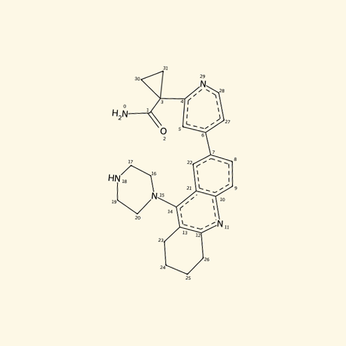 NC(=O)C1(c2cc(-c3ccc4nc5c(c(N6CCNCC6)c4c3)CCCC5)ccn2)CC1